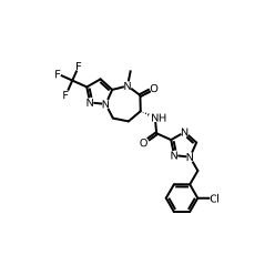 CN1C(=O)[C@H](NC(=O)c2ncn(Cc3ccccc3Cl)n2)CCn2nc(C(F)(F)F)cc21